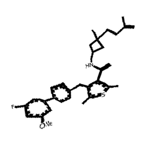 C=C(C)CCC1(C)CC(NC(=C)c2c(C)sc(C)c2Cc2ccc(-c3cc(F)cc(OC)c3)cc2)C1